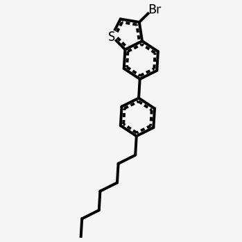 CCCCCCCc1ccc(-c2ccc3c(Br)csc3c2)cc1